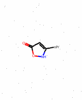 CCCc1cc(=O)o[nH]1